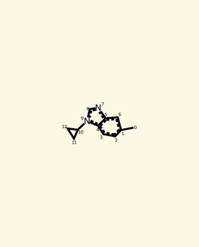 Cc1ccc2c(c1)ncn2C1CC1